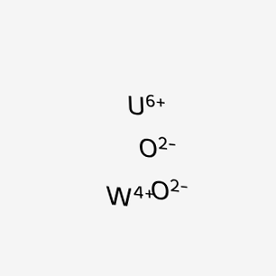 [O-2].[O-2].[U+6].[W+4]